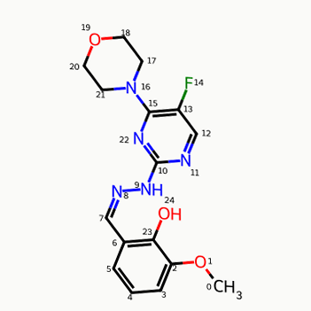 COc1cccc(/C=N\Nc2ncc(F)c(N3CCOCC3)n2)c1O